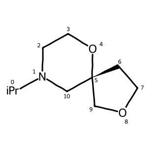 CC(C)N1CCO[C@@]2(CCOC2)C1